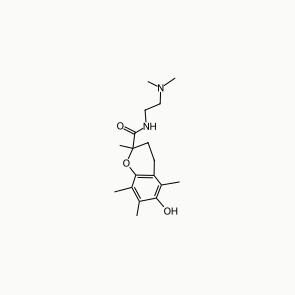 Cc1c(C)c2c(c(C)c1O)CCC(C)(C(=O)NCCN(C)C)O2